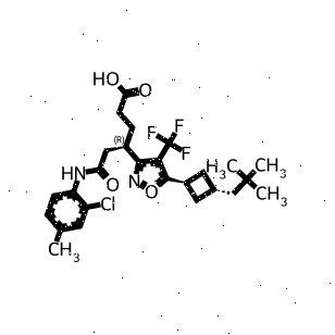 Cc1ccc(NC(=O)C[C@@H](CCC(=O)O)c2noc([C@H]3C[C@H](CC(C)(C)C)C3)c2C(F)(F)F)c(Cl)c1